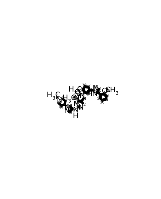 CCN1CCC(n2cc(Nc3ncc4c(n3)N(C)C(=O)N(c3cc(-c5ncc(-c6ccccc6OC)[nH]5)ccc3C)C4)cn2)CC1